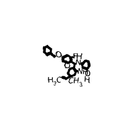 CCCC1(C)CC(=O)C2=C(C1)Nc1c(O)cccc1NC2c1ccc(OCc2ccccc2)cc1F